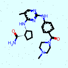 Cc1cnc(Nc2ccc(C(=O)N3CCN(C)CC3)cc2)nc1N[C@@H]1CCC[C@@H]1C(N)=O